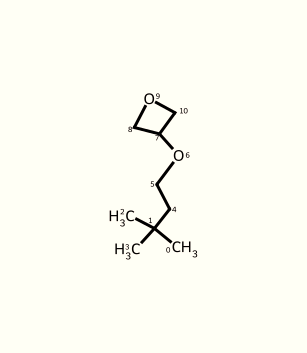 CC(C)(C)CCOC1COC1